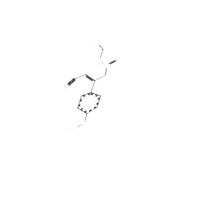 CCO[PH](=O)C/C(=C/C#N)c1ccc(OC)cc1